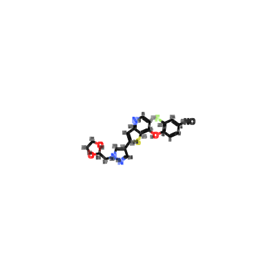 O=Nc1ccc(Oc2ccnc3cc(-c4cnn(CC5OCCO5)c4)sc23)c(F)c1